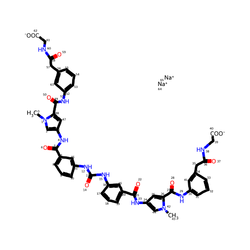 Cn1cc(NC(=O)c2cccc(NC(=O)Nc3cccc(C(=O)Nc4cc(C(=O)Nc5cccc(CC(=O)NCC(=O)[O-])c5)n(C)c4)c3)c2)cc1C(=O)Nc1cccc(CC(=O)NCC(=O)[O-])c1.[Na+].[Na+]